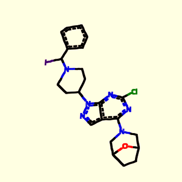 Clc1nc(N2CC3CCC(C2)O3)c2cnn(C3CCN(C(I)c4ccccc4)CC3)c2n1